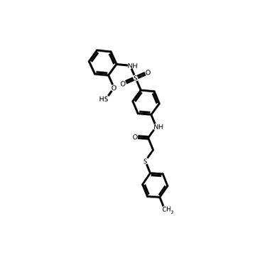 Cc1ccc(SCC(=O)Nc2ccc(S(=O)(=O)Nc3ccccc3OS)cc2)cc1